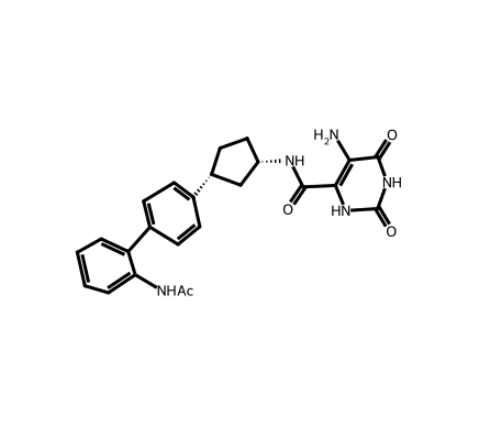 CC(=O)Nc1ccccc1-c1ccc([C@@H]2CC[C@H](NC(=O)c3[nH]c(=O)[nH]c(=O)c3N)C2)cc1